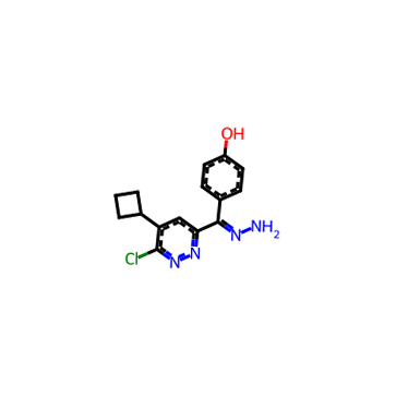 N/N=C(\c1ccc(O)cc1)c1cc(C2CCC2)c(Cl)nn1